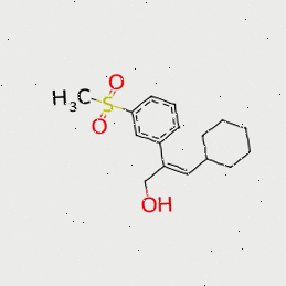 CS(=O)(=O)c1cccc(/C(=C\C2CCCCC2)CO)c1